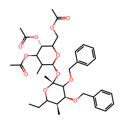 CCC1O[C@](C)(O[C@@H]2OC(COC(C)=O)[C@@H](OC(C)=O)C(OC(C)=O)C2C)C(OCc2ccccc2)[C@@H](OCc2ccccc2)[C@H]1C